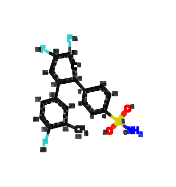 NS(=O)(=O)c1ccc(-c2cc(F)c(F)cc2-c2ccc(F)c(C(F)(F)F)c2)cc1